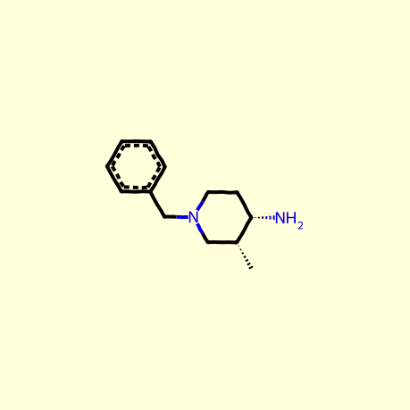 C[C@@H]1CN(Cc2ccccc2)CC[C@@H]1N